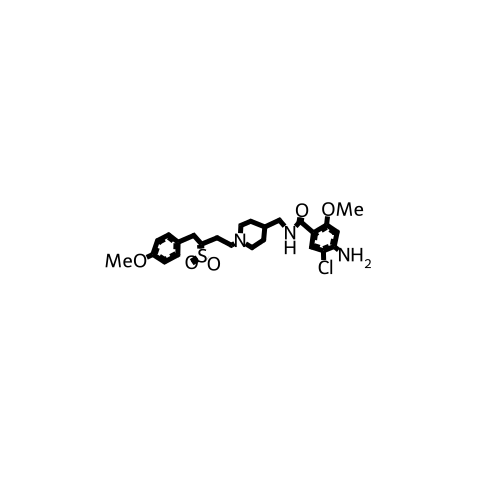 COc1ccc(CC(CCN2CCC(CNC(=O)c3cc(Cl)c(N)cc3OC)CC2)=S(=O)=O)cc1